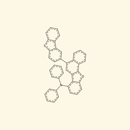 c1ccc(N(c2ccccc2)c2cccc3oc4c5ccccc5c(-c5ccc6sc7ccccc7c6c5)cc4c23)cc1